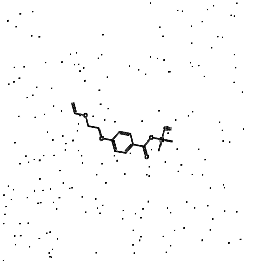 C=COCCOc1ccc(C(=O)O[Si](C)(C)C(C)(C)C)cc1